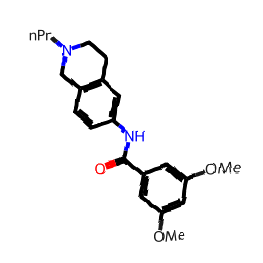 CCCN1CCc2cc(NC(=O)c3cc(OC)cc(OC)c3)ccc2C1